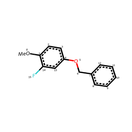 COc1ccc(OCc2ccccc2)cc1F